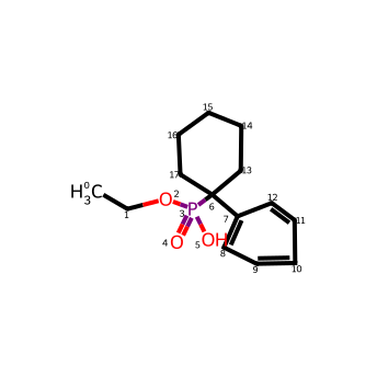 CCOP(=O)(O)C1(c2ccccc2)CCCCC1